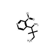 CC(C)(CN)C(N)c1ccncc1[N+](=O)[O-]